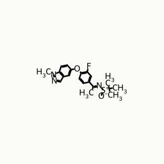 CC(=N[S+]([O-])C(C)(C)C)c1ccc(Oc2ccc3c(cnn3C)c2)c(F)c1